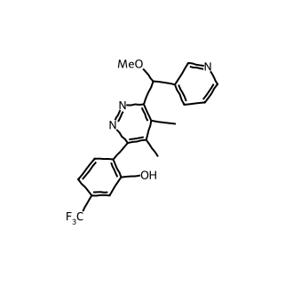 COC(c1cccnc1)c1nnc(-c2ccc(C(F)(F)F)cc2O)c(C)c1C